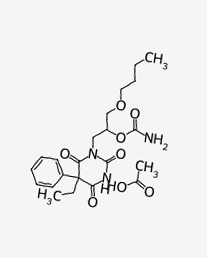 CC(=O)O.CCCCOCC(CN1C(=O)NC(=O)C(CC)(c2ccccc2)C1=O)OC(N)=O